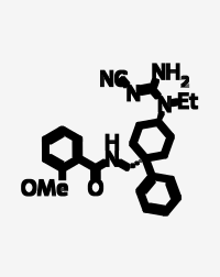 CCN(C(N)=NC#N)[C@H]1CC[C@@](CNC(=O)c2ccccc2OC)(c2ccccc2)CC1